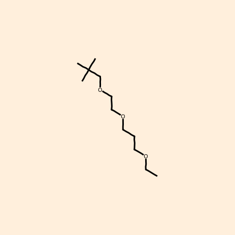 CCOCCCOCCOCC(C)(C)C